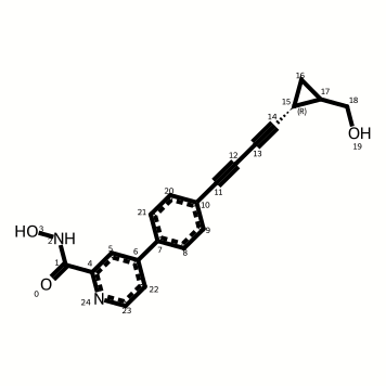 O=C(NO)c1cc(-c2ccc(C#CC#C[C@@H]3CC3CO)cc2)ccn1